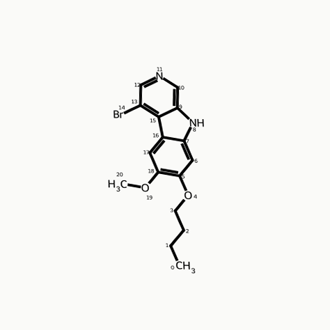 CCCCOc1cc2[nH]c3cncc(Br)c3c2cc1OC